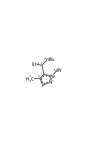 CCCCC(CC)c1c(C)cnn1C(C)C